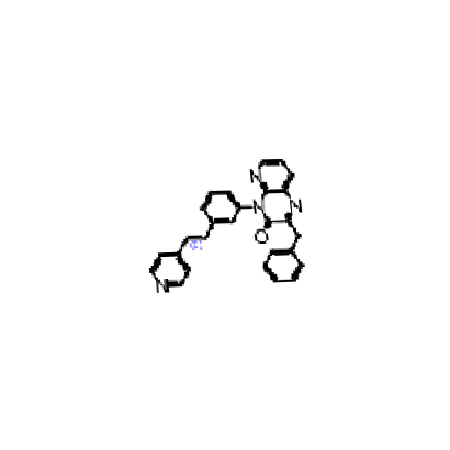 O=c1c(Cc2ccccc2)nc2cccnc2n1-c1cccc(/C=C/c2ccncc2)c1